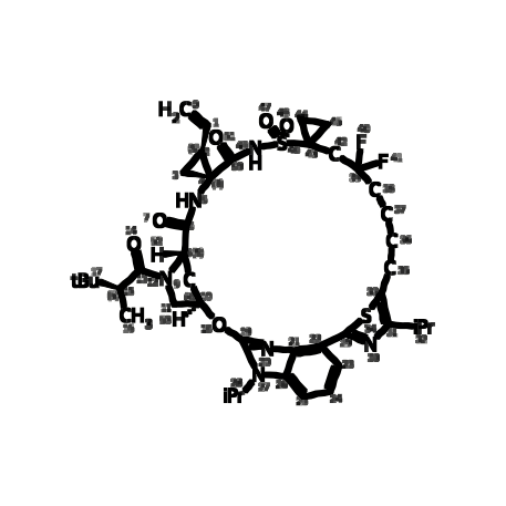 C=C[C@@H]1C[C@@]12NC(=O)[C@@H]1C[C@H](CN1C(=O)[C@@H](C)C(C)(C)C)Oc1nc3c(cccc3n1C(C)C)-c1nc(C(C)C)c(s1)CCCCC(F)(F)CC1(CC1)S(=O)(=O)NC2=O